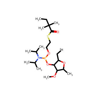 [2H]CC1OC(C)C(OC)C1OP(OCCSC(=O)C(C)(C)CC)N(C(C)C)C(C)C